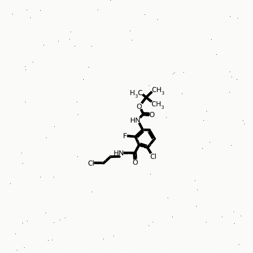 CC(C)(C)OC(=O)Nc1ccc(Cl)c(C(=O)NCCCCl)c1F